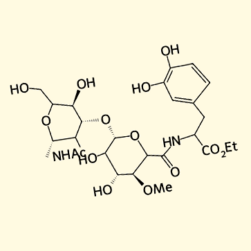 CCOC(=O)C(Cc1ccc(O)c(O)c1)NC(=O)C1O[C@@H](O[C@@H]2C(NC(C)=O)[C@H](C)OC(CO)[C@H]2O)C(O)[C@@H](O)[C@@H]1OC